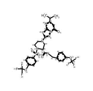 CC(C)c1cc(=O)n2nc(N3CCN(S(=O)(=O)c4ccc(OC(F)(F)F)cc4)[C@@H](C(=O)NCc4ccc(OC(F)(F)F)cc4)C3)sc2n1